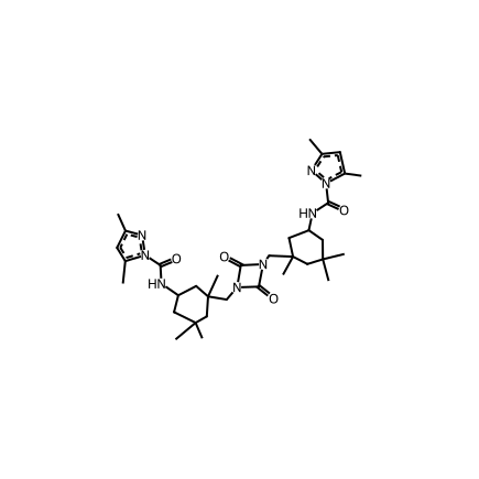 Cc1cc(C)n(C(=O)NC2CC(C)(C)CC(C)(CN3C(=O)N(CC4(C)CC(NC(=O)n5nc(C)cc5C)CC(C)(C)C4)C3=O)C2)n1